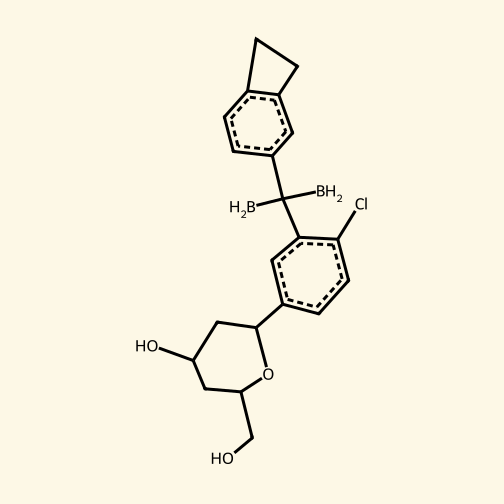 BC(B)(c1ccc2c(c1)CC2)c1cc(C2CC(O)CC(CO)O2)ccc1Cl